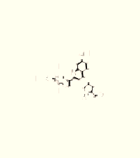 COc1ccc2c(OC3C[C@@H](C(C)=O)N(C)C3)cc(-c3csc(NC(C)C)n3)nc2c1